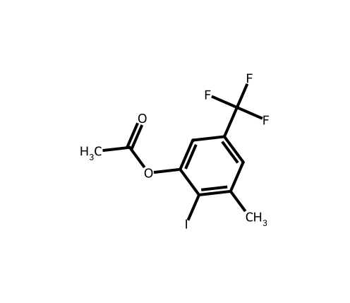 CC(=O)Oc1cc(C(F)(F)F)cc(C)c1I